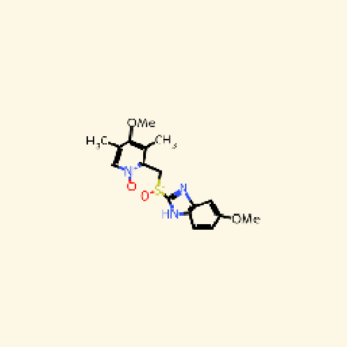 COc1ccc2[nH]c([S+]([O-])Cc3c(C)c(OC)c(C)c[n+]3[O-])nc2c1